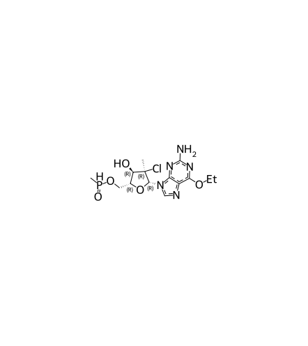 CCOc1nc(N)nc2c1ncn2[C@@H]1O[C@H](CO[PH](C)=O)[C@@H](O)[C@@]1(C)Cl